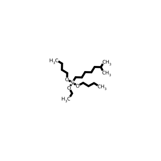 CCCCO[Si](CCCCCC(C)C)(OCC)OCCCC